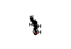 O=C(NC12CC(C1)C2)O[C@@H]1CC[C@H](c2cc(Nc3nccc4nc(CN5CC(F)(F)C5)cn34)n[nH]2)[C@H]1F